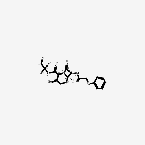 O=C(COc1ccccc1)N[C@@H]1C(=O)N2C(C(=O)OC(Cl)(Cl)CCl)C(O)CS[C@H]12